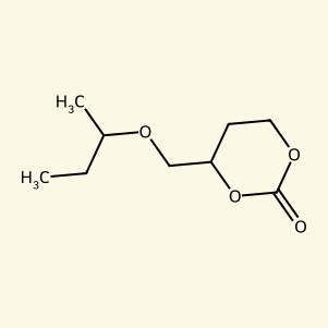 CCC(C)OCC1CCOC(=O)O1